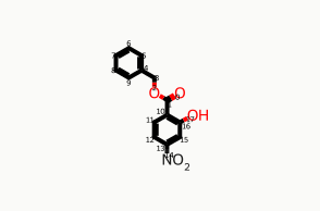 O=C(OCc1ccccc1)c1ccc([N+](=O)[O-])cc1O